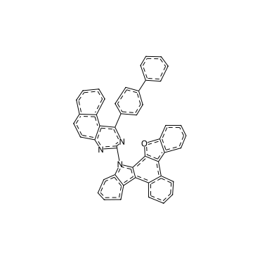 c1ccc(-c2ccc(-c3nc(-n4c5ccccc5c5c6ccccc6c6c7ccccc7oc6c54)nc4ccc5ccccc5c34)cc2)cc1